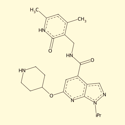 Cc1cc(C)c(CNC(=O)c2cc(OC3CCNCC3)nc3c2cnn3C(C)C)c(=O)[nH]1